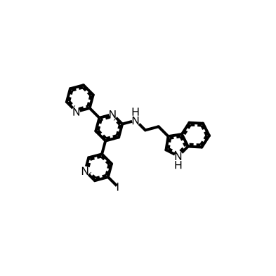 Ic1cncc(-c2cc(NCCc3c[nH]c4ccccc34)nc(-c3ccccn3)c2)c1